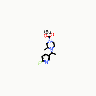 CC1CN(C(=O)OC(C)(C)C)CCN1C(C)c1ccc(F)nc1